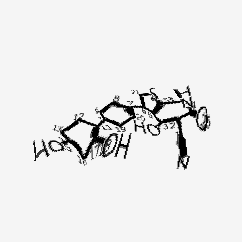 N#Cc1c(O)c2c(-c3ccc(-c4ccc(O)cc4O)cc3)csc2[nH]c1=O